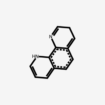 C1=CNc2c3c(ccc2=C1)=CCC=N3